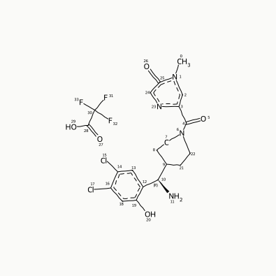 Cn1cc(C(=O)N2CCC([C@@H](N)c3cc(Cl)c(Cl)cc3O)CC2)ncc1=O.O=C(O)C(F)(F)F